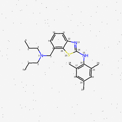 CCCN(CCC)Cc1cccc2nc(Nc3c(C)cc(C)cc3C)sc12